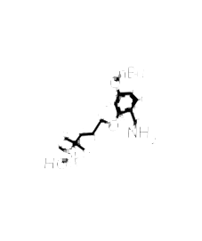 CCCCOc1ccc(CN)c(OCCCC(C)(C)[Si](C)(C)O)c1